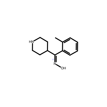 Cc1ccccc1/C(=N\O)C1CCNCC1